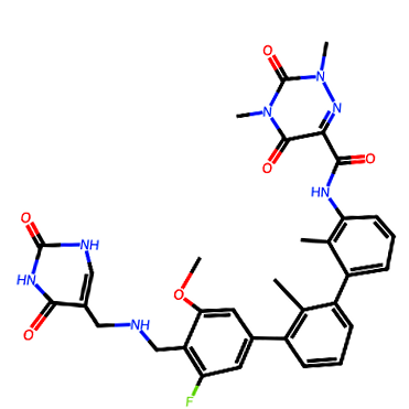 COc1cc(-c2cccc(-c3cccc(NC(=O)c4nn(C)c(=O)n(C)c4=O)c3C)c2C)cc(F)c1CNCc1c[nH]c(=O)[nH]c1=O